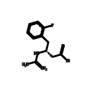 C=C(C)N[C@@H](CC(=O)CC)Cc1ccccc1F